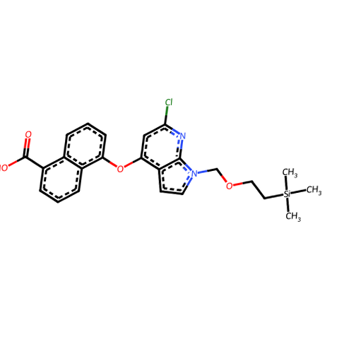 C[Si](C)(C)CCOCn1ccc2c(Oc3cccc4c(C(=O)O)cccc34)cc(Cl)nc21